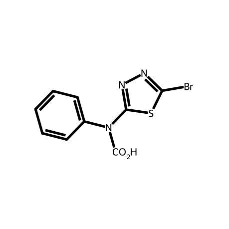 O=C(O)N(c1ccccc1)c1nnc(Br)s1